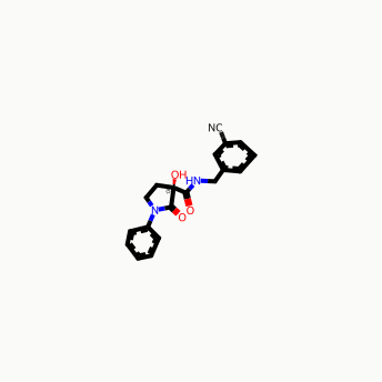 N#Cc1cccc(CNC(=O)[C@@]2(O)CCN(c3ccccc3)C2=O)c1